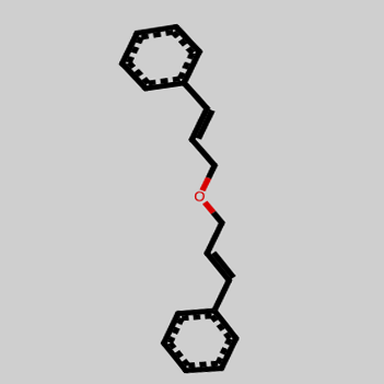 C(=Cc1ccccc1)COC/C=C/c1ccccc1